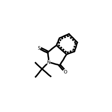 CC(C)(C)N1C(=O)c2ccccc2C1=S